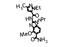 CCCn1c(NC(=O)c2cc(C)nn2CC)nc2c(OC)c(C(N)=O)ccc21